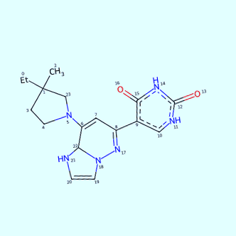 CCC1(C)CCN(C2=CC(c3c[nH]c(=O)[nH]c3=O)=NN3C=CNC23)C1